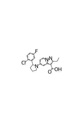 CCc1nn2ccc(N3CCCC3c3cc(F)ccc3Cl)cc2c1C(=O)O